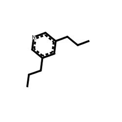 CCCc1[c]c(CCC)cnc1